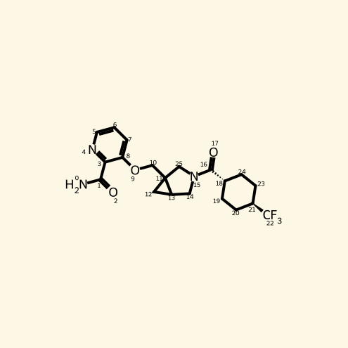 NC(=O)c1ncccc1OCC12CC1CN(C(=O)[C@H]1CC[C@H](C(F)(F)F)CC1)C2